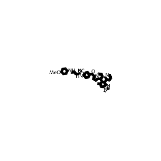 CO[C@H]1CC[C@H](NC/C=C/C(=O)Nc2ccc(C(=O)c3ccc4c(-c5c(C)cc6c(ncn6C)c5-c5cccnc5)cccn34)cc2C#N)CC1